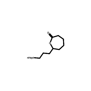 CCCCCCCCCCC1CCCCC(=O)O1